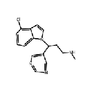 CNCCC(c1cncnc1)n1ccc2c(Cl)cccc21